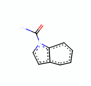 [NH]C(=O)n1ccc2ccccc21